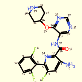 Nc1cc(F)c(-c2c(F)cccc2F)nc1C(=O)Nc1cncnc1OC1CCNCC1